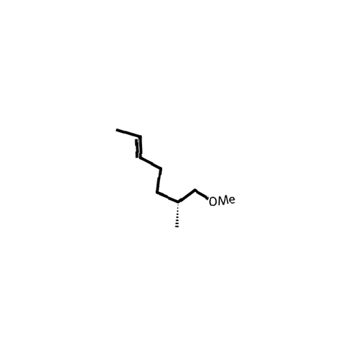 C/C=C/CC[C@@H](C)COC